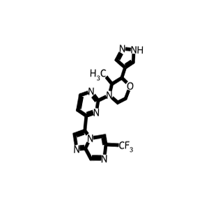 CC1C(c2cn[nH]c2)OCCN1c1nccc(-c2cnc3cnc(C(F)(F)F)cn23)n1